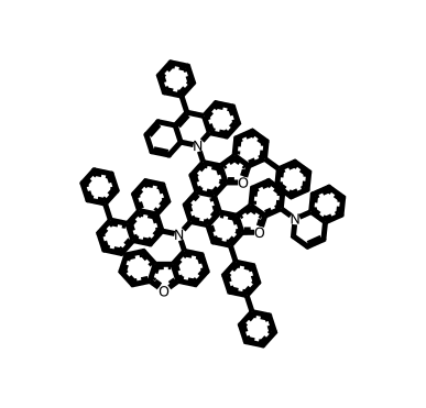 C1=CC2=C(c3ccccc3)c3ccccc3N(c3cc4cc(N(c5cc6cccc(-c7ccccc7)c6c6ccccc56)c5cccc6oc7ccccc7c56)c5cc(-c6ccc(-c7ccccc7)cc6)c6oc7c(N8CC=Cc9ccccc98)cccc7c6c5c4c4oc5c(-c6ccccc6)cccc5c34)C2C=C1